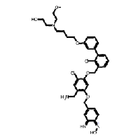 N=C1C=C(COc2cc(OCc3cccc(-c4cccc(OCCCCN(CCO)CCO)c4)c3Cl)c(Cl)cc2CN)C=C/C1=N/O